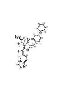 CC(=O)O.O=C1N=C(Nc2ccc3[n-]ccc3c2)S/C1=C/c1ccc(-c2ccccc2)cc1.[Na+]